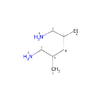 CCC(CN)CC(C)CN